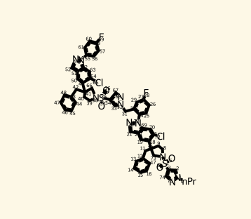 CCCn1cc(S(=O)(=O)N2CCC(Cc3ccccc3)(c3cc4cnn(-c5ccc(F)cc5Cn5cc(S(=O)(=O)N6CCC(Cc7ccccc7)(c7cc8cnn(-c9ccc(F)cc9)c8cc7Cl)C6)cn5)c4cc3Cl)C2)cn1